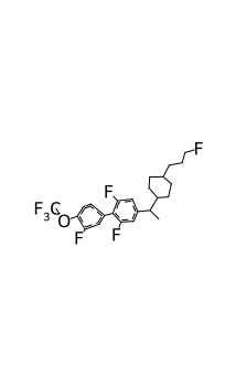 CC(c1cc(F)c(-c2ccc(OC(F)(F)F)c(F)c2)c(F)c1)C1CCC(CCCF)CC1